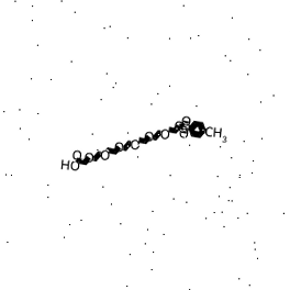 Cc1ccc(S(=O)(=O)OCCOCCOCCOCCOCCOCCOCC(=O)O)cc1